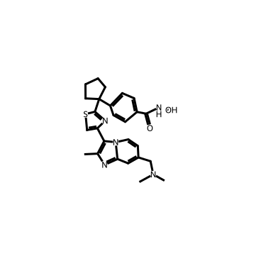 Cc1nc2cc(CN(C)C)ccn2c1-c1csc(C2(c3ccc(C(=O)NO)cc3)CCCC2)n1